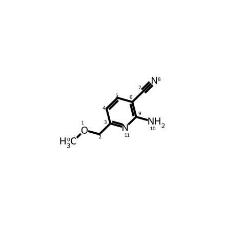 COCc1ccc(C#N)c(N)n1